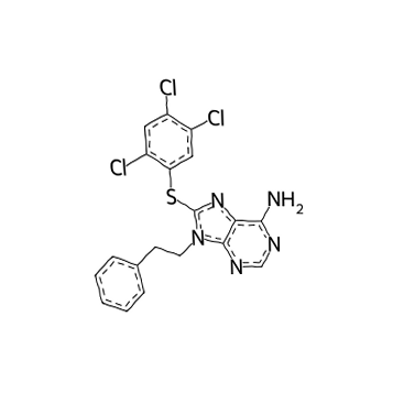 Nc1ncnc2c1nc(Sc1cc(Cl)c(Cl)cc1Cl)n2CCc1ccccc1